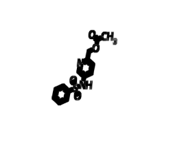 CC(=O)OCc1ccc(NS(=O)(=O)c2ccccc2)cn1